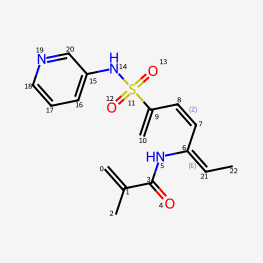 C=C(C)C(=O)NC(/C=C\C(=C)S(=O)(=O)Nc1cccnc1)=C/C